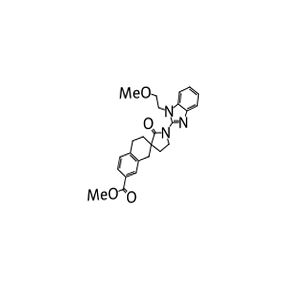 COCCn1c(N2CCC3(CCc4ccc(C(=O)OC)cc4C3)C2=O)nc2ccccc21